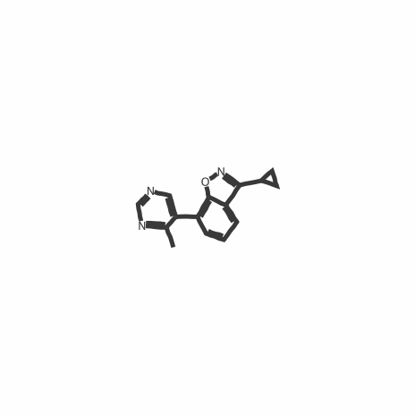 Cc1ncncc1-c1cccc2c(C3CC3)noc12